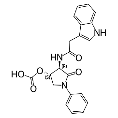 O=C(Cc1c[nH]c2ccccc12)N[C@H]1C(=O)N(c2ccccc2)C[C@@H]1OC(=O)O